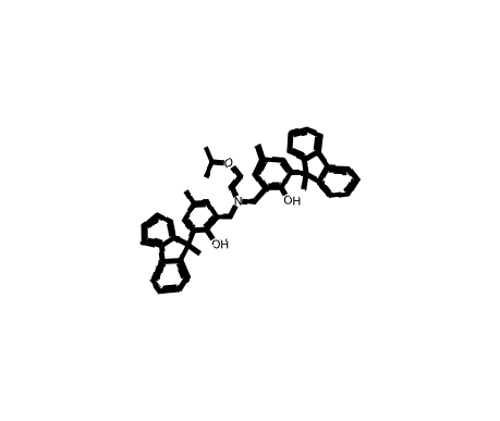 Cc1cc(CN(CCOC(C)C)Cc2cc(C)cc(C3(C)c4ccccc4-c4ccccc43)c2O)c(O)c(C2(C)c3ccccc3-c3ccccc32)c1